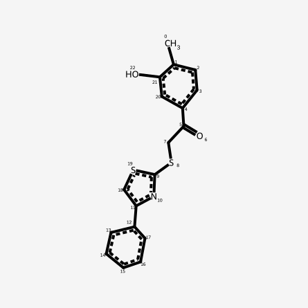 Cc1ccc(C(=O)CSc2nc(-c3ccccc3)cs2)cc1O